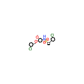 COc1cc(NS(=O)(=O)C2C#CC2c2cccc(Cl)c2)ccc1OCc1cccc(Cl)c1